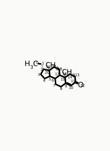 CC[C@H]1CCC2C3CCC4=CC(=O)CC[C@]4(C)C3CC[C@@]21C